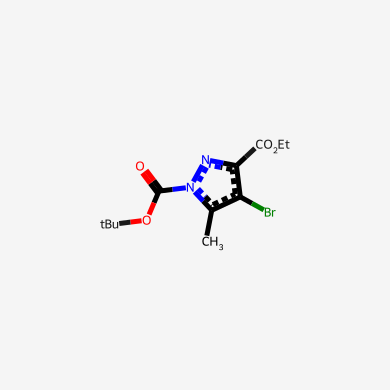 CCOC(=O)c1nn(C(=O)OC(C)(C)C)c(C)c1Br